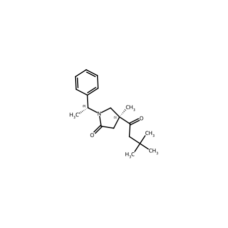 C[C@H](c1ccccc1)N1C[C@@](C)(C(=O)CC(C)(C)C)CC1=O